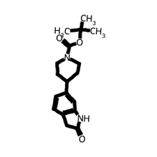 CC(C)(C)OC(=O)N1CCC(c2ccc3c(c2)NC(=O)C3)CC1